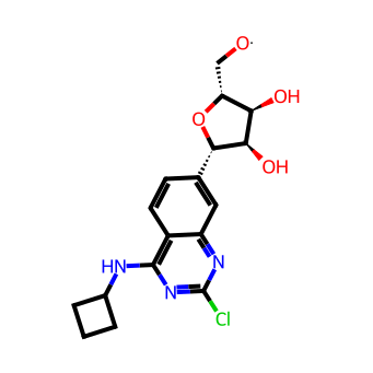 [O]C[C@H]1O[C@@H](c2ccc3c(NC4CCC4)nc(Cl)nc3c2)[C@H](O)[C@@H]1O